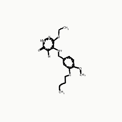 CCCCOc1cc(CNc2c(OCC)n[nH]c(=O)c2Br)ccc1OC